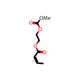 C/C=C\C(=O)OCCOC(=O)OC